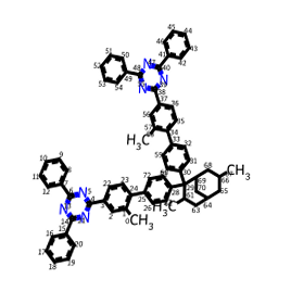 Cc1cc(-c2nc(-c3ccccc3)nc(-c3ccccc3)n2)ccc1-c1ccc(C2(c3ccc(-c4ccc(-c5nc(-c6ccccc6)nc(-c6ccccc6)n5)cc4C)cc3)C(C)CC3CC(C)CC2C3)cc1